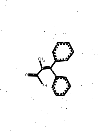 CC(C(=O)S)=C(c1ccccc1)c1ccccc1